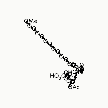 COCCOCCOCCOCCOCCOCCOCCOCCOCCOCCOCCOc1ccc(C[C@@H](C(=O)NCCCCc2ccc(COC(C)=O)c(O[C@@H]3O[C@H](C(=O)O)[C@@H](O)[C@H](O)[C@H]3O)c2)N2C(=O)C=CC2=O)cc1